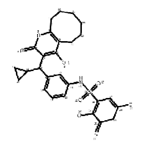 O=c1oc2c(c(O)c1C(c1cccc(NS(=O)(=O)C3=C(Cl)C(=S)CC(Cl)=C3)c1)C1CC1)CCCCCC2